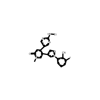 CCNc1ncc(-c2cc(=O)n(C)cc2-c2cnn(-c3cccc(F)c3C#N)c2)cn1